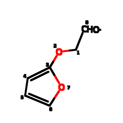 O=[C]COc1ccco1